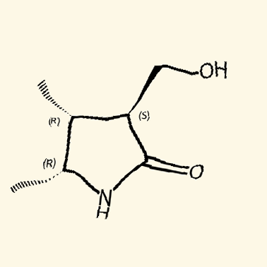 C[C@H]1[C@@H](C)NC(=O)[C@@H]1CO